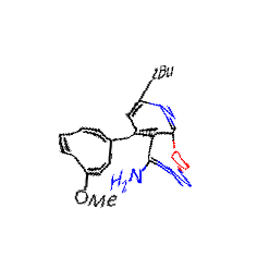 COc1cccc(-c2cc(C(C)(C)C)nc3onc(N)c23)c1